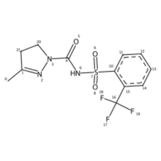 CC1=NN(C(=O)NS(=O)(=O)c2ccccc2C(F)(F)F)CC1